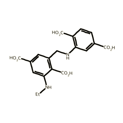 CCNc1cc(C(=O)O)cc(CNc2cc(C(=O)O)ccc2C(=O)O)c1C(=O)O